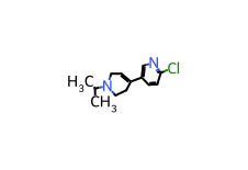 CC(C)N1CC=C(c2ccc(Cl)nc2)CC1